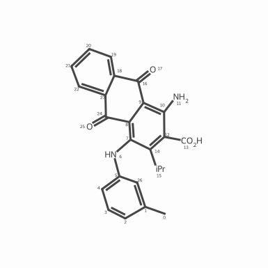 Cc1cccc(Nc2c3c(c(N)c(C(=O)O)c2C(C)C)C(=O)c2ccccc2C3=O)c1